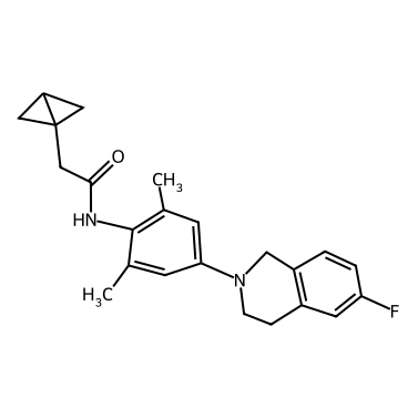 Cc1cc(N2CCc3cc(F)ccc3C2)cc(C)c1NC(=O)CC12CC1C2